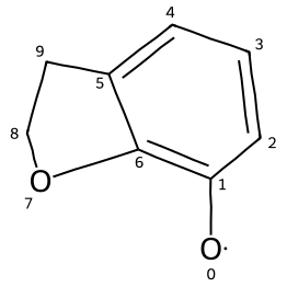 [O]c1cccc2c1OCC2